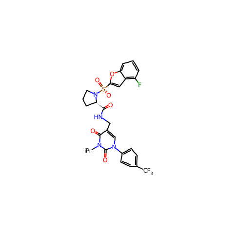 CC(C)n1c(=O)c(CNC(=O)[C@@H]2CCCN2S(=O)(=O)c2cc3c(F)cccc3o2)cn(-c2ccc(C(F)(F)F)cc2)c1=O